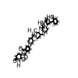 CC1CC(CN2CCN3c4cc(-c5ccccc5O)nnc4NC[C@H]3C2)CCN1CC1CCN(c2ccc3c(c2)C(=O)N(C2CCC(=O)NC2=O)C3=O)CC1